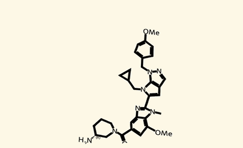 COc1ccc(Cn2ncc3cc(-c4nc5cc(C(=O)N6CCC[C@@H](N)C6)cc(OC)c5n4C)n(CC4CC4)c32)cc1